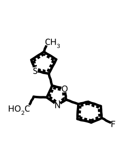 Cc1csc(-c2oc(-c3ccc(F)cc3)nc2CC(=O)O)c1